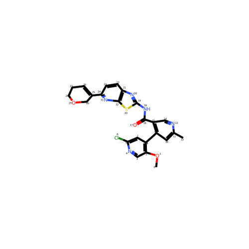 COc1cnc(Cl)cc1-c1cc(C)ncc1C(=O)Nc1nc2ccc(C3=CCCOC3)nc2s1